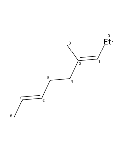 C[CH]/C=C(\C)CC/C=C/C